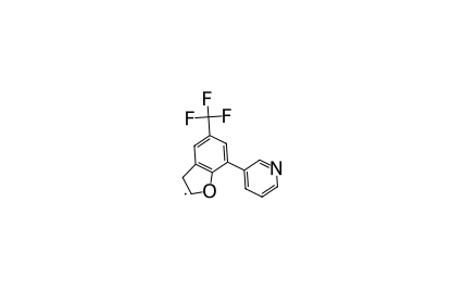 FC(F)(F)c1cc2c(c(-c3cccnc3)c1)O[CH]C2